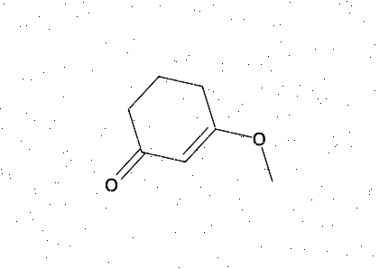 COC1=CC(=O)CCC1